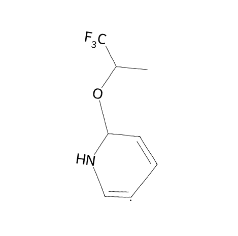 CC(OC1C=C[C]=CN1)C(F)(F)F